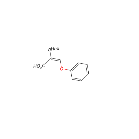 CCCCCC/C(=C/Oc1ccccc1)C(=O)O